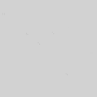 COc1ccc2[nH]c([S+]([O-])Cc3ncc(C)c(OC)c3C)nc2n1.[KH]